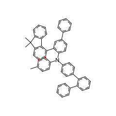 Cc1ccc(N(c2ccc(-c3ccccc3-c3ccccc3)cc2)c2ccc(-c3ccccc3)cc2-c2cccc3c2-c2ccccc2C3(C)C)cc1